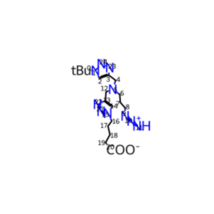 CC(C)(C)n1cc(CN(CCCN=[N+]=N)Cc2cn(CCCCC(=O)[O-])nn2)nn1